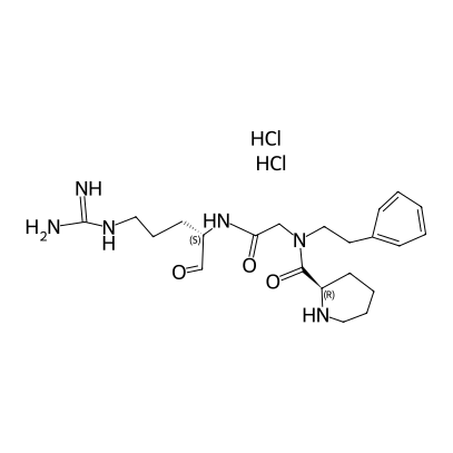 Cl.Cl.N=C(N)NCCC[C@@H](C=O)NC(=O)CN(CCc1ccccc1)C(=O)[C@H]1CCCCN1